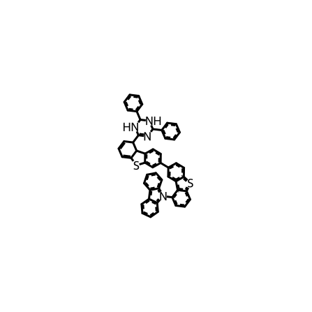 C1=CC(C2=NC(c3ccccc3)NC(c3ccccc3)N2)C2C(=C1)Sc1cc(-c3ccc4sc5cccc(-n6c7ccccc7c7ccccc76)c5c4c3)ccc12